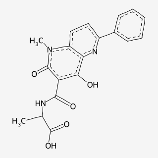 CC(NC(=O)c1c(O)c2nc(-c3ccccc3)ccc2n(C)c1=O)C(=O)O